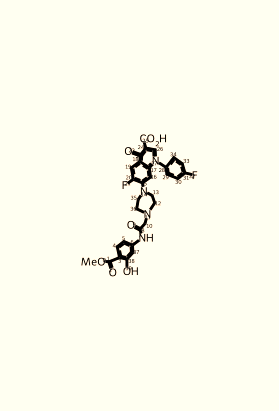 COC(=O)c1ccc(NC(=O)CN2CCN(c3cc4c(cc3F)c(=O)c(C(=O)O)cn4-c3ccc(F)cc3)CC2)cc1O